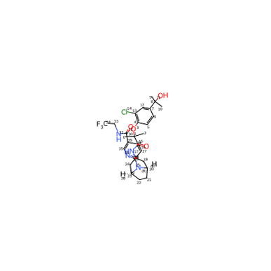 CC(C)(Oc1ccc(C(C)(C)O)cc1Cl)C(=O)N[C@H]1C[C@H]2CC[C@@H](C1)N2c1ccc(C(=O)NCC(F)(F)F)cn1